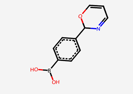 OB(O)c1ccc(C2N=CC=CO2)cc1